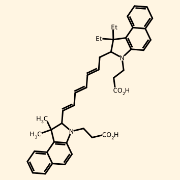 CCC1(CC)c2c(ccc3ccccc23)N(CCC(=O)O)C1C/C=C/C=C/C=C/C1N(CCC(=O)O)c2ccc3ccccc3c2C1(C)C